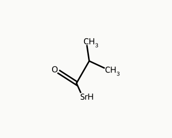 CC(C)[C](=O)[SrH]